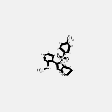 COc1cnccc1-c1cc2ncccc2n1S(=O)(=O)c1ccc(C)cc1